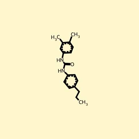 CCCc1ccc(NC(=O)Nc2ccc(C)c(C)c2)cc1